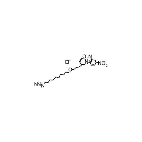 [Cl-].[N-]=[N+]=NCCCCCCCCCCOCCCc1ccc[n+](-c2ccc([N+](=O)[O-])cc2[N+](=O)[O-])c1